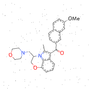 COc1ccc2ccc(C(=O)c3c(C)n4c5c(cccc35)OCC4CN3CCOCC3)cc2c1